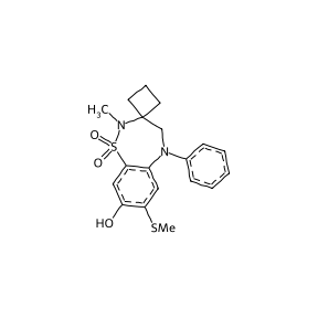 CSc1cc2c(cc1O)S(=O)(=O)N(C)C1(CCC1)CN2c1ccccc1